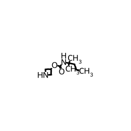 CCCC(C)(C)NC(=O)OC1CNC1